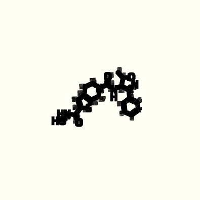 CC1ON=C(c2ccccc2)C1NC(=O)N1CCc2cc(C(=O)NO)sc2C1